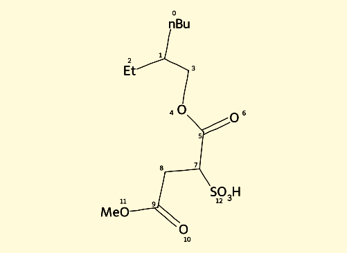 CCCCC(CC)COC(=O)C(CC(=O)OC)S(=O)(=O)O